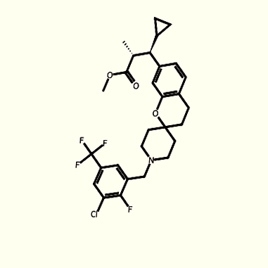 COC(=O)[C@H](C)[C@H](c1ccc2c(c1)OC1(CC2)CCN(Cc2cc(C(F)(F)F)cc(Cl)c2F)CC1)C1CC1